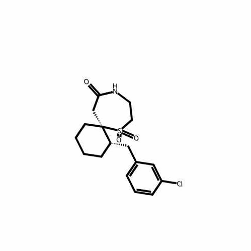 O=C1C[C@]2(CCCC[C@H]2Cc2cccc(Cl)c2)S(=O)(=O)CCN1